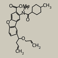 C=CCOC(CC=C)c1ccc2oc3cc(C(=O)OC)c(N(C(=O)C4CCC(C)CC4)C(C)C)cc3c2c1